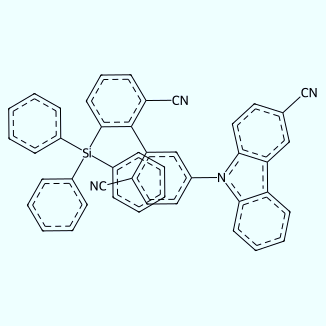 N#Cc1ccc2c(c1)c1ccccc1n2-c1ccc(C#N)c(-c2c(C#N)cccc2[Si](c2ccccc2)(c2ccccc2)c2ccccc2)c1